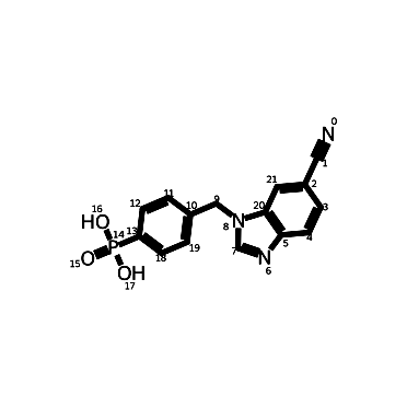 N#Cc1ccc2ncn(Cc3ccc(P(=O)(O)O)cc3)c2c1